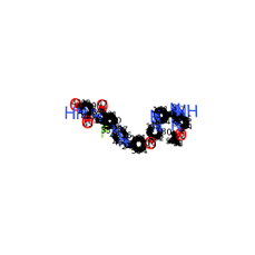 CC1(Oc2ccc3[nH]nc(-c4ccnc(N5CCC(OC6CCC(CN7CCN(c8ccc9c(c8F)CN(C8CCC(=O)NC8=O)C9=O)CC7)CC6)CC5)c4)c3n2)CC1